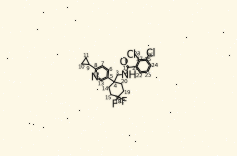 O=C(NCC1(c2ccc(C3CC3)nc2)CCC(F)(F)CC1)c1cccc(Cl)c1Cl